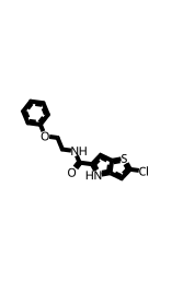 O=C(NCCOc1ccccc1)c1cc2sc(Cl)cc2[nH]1